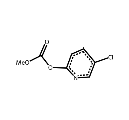 COC(=O)Oc1c[c]c(Cl)cn1